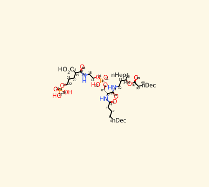 CCCCCCCCCCCCCC(=O)N[C@H](COP(=O)(O)OCCNC(=O)C(CCCOP(=O)(O)O)C(=O)O)C(=O)NCCC(CCCCCCC)OC(=O)CCCCCCCCCCC